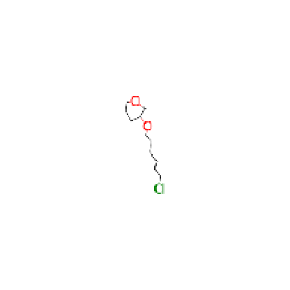 ClCCCCCCOC1CCCOC1